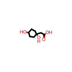 O=C(O)CC1(O)CCC(O)CC1